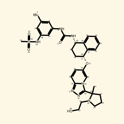 CC(C)(C)c1cc(NC(=O)N[C@H]2CC[C@@H](Oc3ccc4nnc(C5(C)CCCN5CCO)n4c3)c3ccccc32)cc(NS(C)(=O)=O)c1